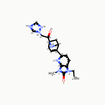 Cn1c(=O)n(CC(C)(C)C)c2ccc(C3=CC4CCC3CN4C(=O)Cn3cncn3)nc21